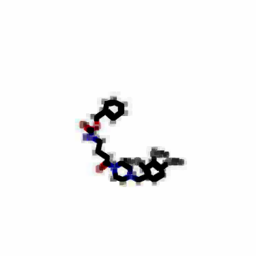 COc1ccc(CN2CCN(C(=O)CCCNC(=O)OCc3ccccc3)CC2)c(OC)c1OC